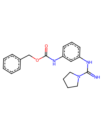 N=C(Nc1cccc(NC(=O)OCc2ccccc2)c1)N1CCCC1